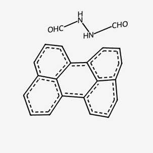 O=CNNC=O.c1cc2cccc3c4cccc5cccc(c(c1)c23)c54